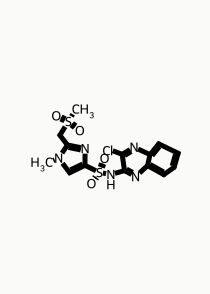 Cn1cc(S(=O)(=O)Nc2nc3ccccc3nc2Cl)nc1CS(C)(=O)=O